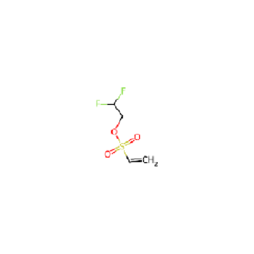 C=CS(=O)(=O)OCC(F)F